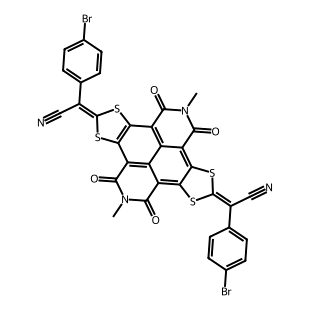 Cn1c(=O)c2c3sc(=C(C#N)c4ccc(Br)cc4)sc3c3c(=O)n(C)c(=O)c4c5sc(=C(C#N)c6ccc(Br)cc6)sc5c(c1=O)c2c34